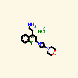 Cl.Cl.NCC[C@@H](CCN1CC(N2CCOCC2)C1)c1ccccc1F